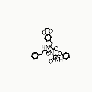 O=C(CCc1ccccc1)N[C@@H](Cc1ccc2c(c1)OCCO2)C(=O)N[C@@H]1C(=O)N[C@H]1Oc1ccccc1